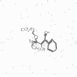 C#C/C(=C(C#N)\C(=N/C)OCC(=O)OCC)c1ccccc1